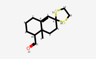 CC12CCC3(C=C1CCCC2C=O)SCCS3